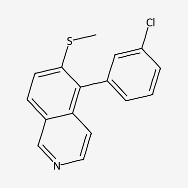 CSc1ccc2cnccc2c1-c1cccc(Cl)c1